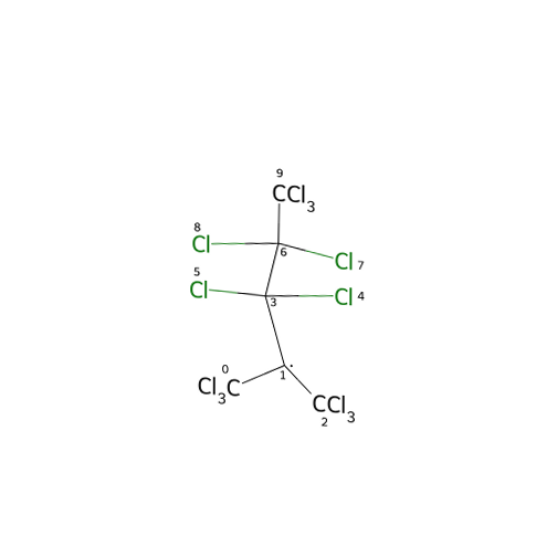 ClC(Cl)(Cl)[C](C(Cl)(Cl)Cl)C(Cl)(Cl)C(Cl)(Cl)C(Cl)(Cl)Cl